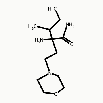 CCC(C)C(N)(CCN1CCOCC1)C(N)=O